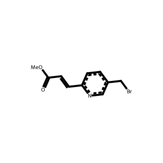 COC(=O)/C=C/c1ccc(CBr)cn1